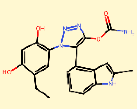 CCc1cc(-n2nnc(OC(N)=O)c2-c2cccc3[nH]c(C)cc23)c(O)cc1O